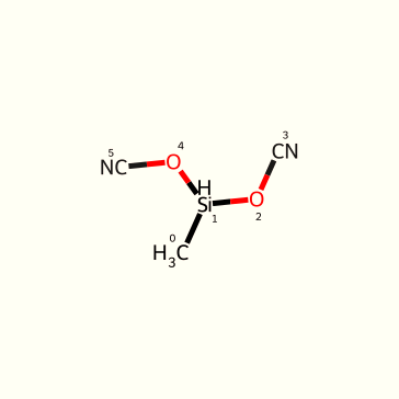 C[SiH](OC#N)OC#N